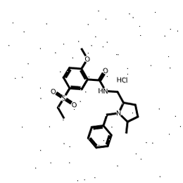 CCS(=O)(=O)c1ccc(OC)c(C(=O)NCC2CCC(C)N2Cc2ccccc2)c1.Cl